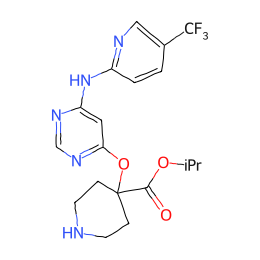 CC(C)OC(=O)C1(Oc2cc(Nc3ccc(C(F)(F)F)cn3)ncn2)CCNCC1